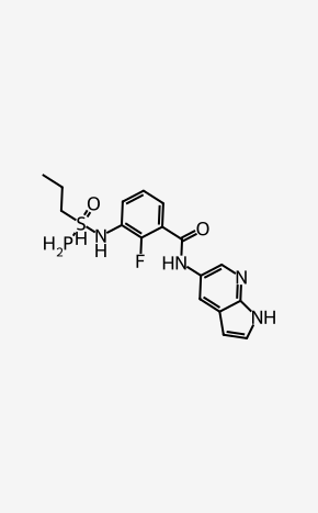 CCC[SH](=O)(P)Nc1cccc(C(=O)Nc2cnc3[nH]ccc3c2)c1F